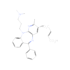 Cc1cc2c(nc1C)N(CCCN(C)C)c1ccccc1C(c1ccccc1)=N2.O=C(O)C=CC(=O)O